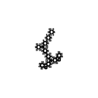 c1ccc(-c2ccc(-c3ccc(N(c4ccccc4)c4ccc(-c5ccc(N(c6ccc7oc8ccccc8c7c6)c6ccc7oc8ccccc8c7c6)cc5)cc4)cc3)cc2)cc1